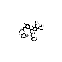 CCN(N)c1ccc(C(CC(=O)Nc2cccnc2)c2ccc(C)c(CN3CCOc4ncccc4S3)c2)c(C)c1N